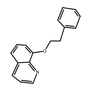 c1ccc(CCOc2cccc3cccnc23)cc1